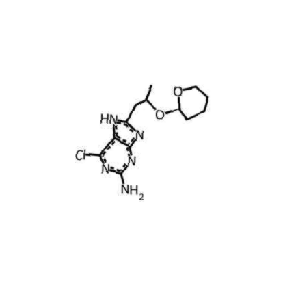 CC(Cc1nc2nc(N)nc(Cl)c2[nH]1)O[C@@H]1CCCCO1